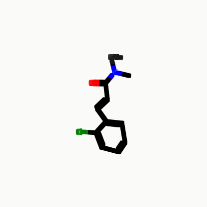 CON(C)C(=O)/C=C/c1ccccc1Cl